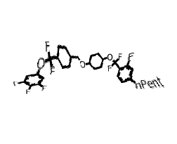 CCCCCc1ccc(C(F)(F)OC2CCC(OCC3CCC(C(F)(F)Oc4cc(F)c(F)c(F)c4)CC3)CC2)c(F)c1